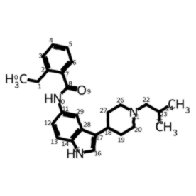 CCc1ccccc1C(=O)Nc1ccc2[nH]cc(C3CCN(CC(C)C)CC3)c2c1